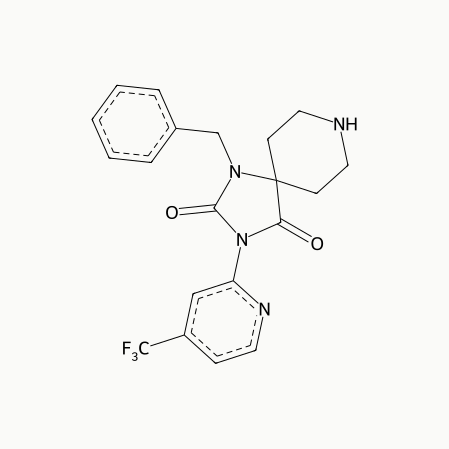 O=C1N(c2cc(C(F)(F)F)ccn2)C(=O)C2(CCNCC2)N1Cc1ccccc1